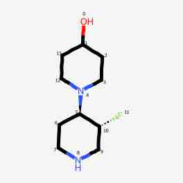 OC1CCN([C@@H]2CCNC[C@H]2F)CC1